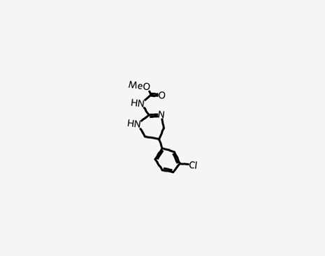 COC(=O)NC1=NCC(c2cccc(Cl)c2)CN1